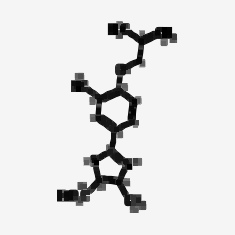 C=C(C)COc1ccc(-c2nc(C)c(C(=O)OCC)s2)cc1C#N